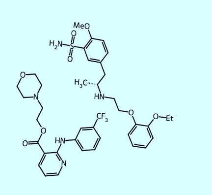 CCOc1ccccc1OCCN[C@H](C)Cc1ccc(OC)c(S(N)(=O)=O)c1.O=C(OCCN1CCOCC1)c1cccnc1Nc1cccc(C(F)(F)F)c1